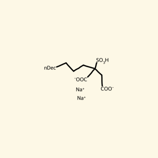 CCCCCCCCCCCCCC(CC(=O)[O-])(C(=O)[O-])S(=O)(=O)O.[Na+].[Na+]